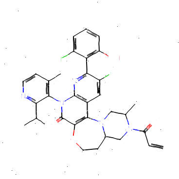 C=CC(=O)N1CC2CCOc3c(c4cc(Cl)c(-c5c(O)cccc5Cl)nc4n(-c4c(C)ccnc4C(C)C)c3=O)N2CC1C